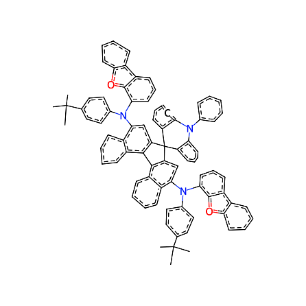 CC(C)(C)c1ccc(N(c2cc3c(c4ccccc24)-c2c(cc(N(c4ccc(C(C)(C)C)cc4)c4cccc5c4oc4ccccc45)c4ccccc24)C32c3ccccc3N(c3ccccc3)c3ccccc32)c2cccc3c2oc2ccccc23)cc1